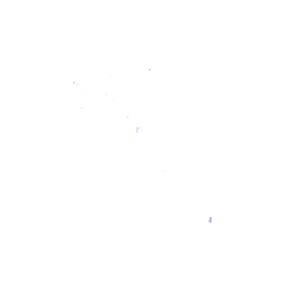 NCCOc1ccc2cc1CCCCCOCCNc1cc(O)c(C(N)=O)cc1S(=O)(=O)N2